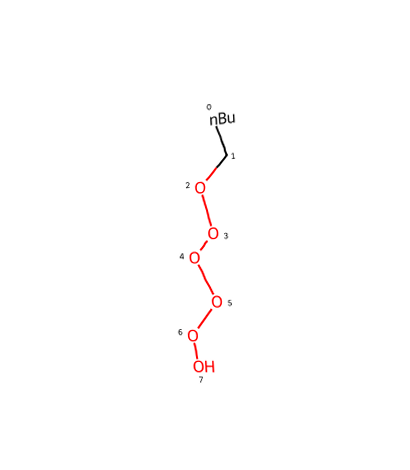 CCCCCOOOOOO